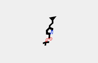 CC(C)(C)OC(=O)c1ccc(CCC2CC2)cn1